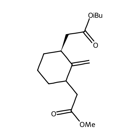 C=C1C(CC(=O)OC)CCC[C@H]1CC(=O)OCC(C)C